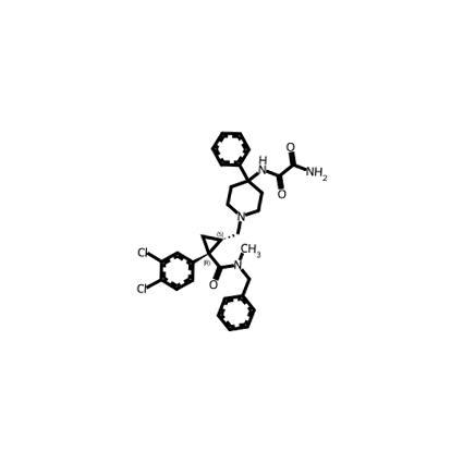 CN(Cc1ccccc1)C(=O)[C@]1(c2ccc(Cl)c(Cl)c2)C[C@@H]1CN1CCC(NC(=O)C(N)=O)(c2ccccc2)CC1